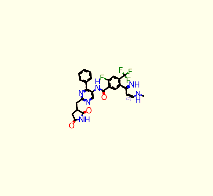 CN/C=C\C(=N)c1cc(C(=O)Nc2cnc(CC3CC(=O)NC3=O)nc2-c2ccccc2)c(F)cc1C(F)(F)F